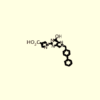 O=C(O)c1cnn(-c2nc(O)c3nn(Cc4ccc(-c5ccccc5)cc4)cc3n2)c1